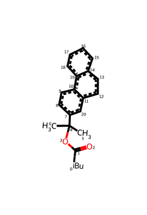 CCC(C)C(=O)OC(C)(C)c1ccc2c(ccc3ccccc32)c1